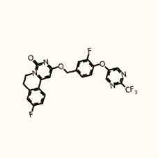 O=c1nc(OCc2ccc(Oc3cnc(C(F)(F)F)nc3)c(F)c2)cc2n1CCc1cc(F)ccc1-2